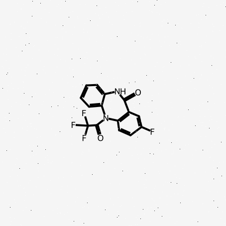 O=C1Nc2ccccc2N(C(=O)C(F)(F)F)c2ccc(F)cc21